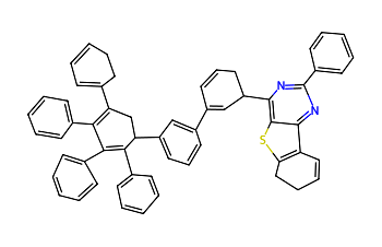 C1=CCCC(C2=C(c3ccccc3)C(c3ccccc3)=C(c3ccccc3)C(c3cccc(C4=CC(c5nc(-c6ccccc6)nc6c7c(sc56)CCC=C7)CC=C4)c3)C2)=C1